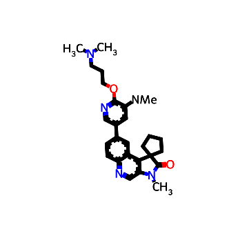 CNc1cc(-c2ccc3ncc4c(c3c2)C2(CCCC2)C(=O)N4C)cnc1OCCCN(C)C